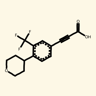 O=C(O)C#Cc1ccc(C2CCOCC2)c(C(F)(F)F)c1